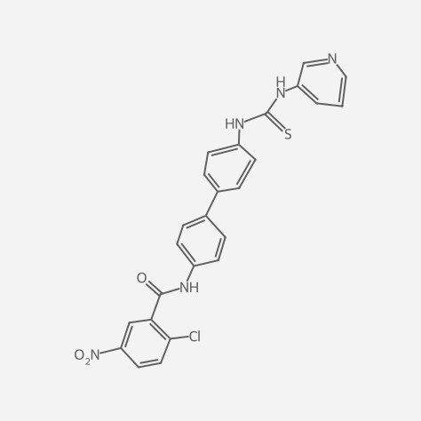 O=C(Nc1ccc(-c2ccc(NC(=S)Nc3cccnc3)cc2)cc1)c1cc([N+](=O)[O-])ccc1Cl